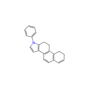 C1=Cc2ccc3c(c2CC1)CCc1c-3ccn1-c1ccccc1